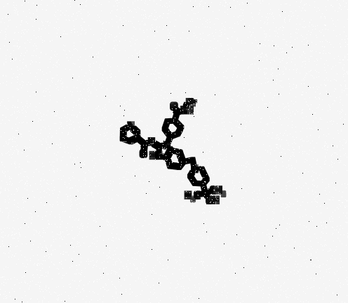 CC(C)NC(=O)C1CCC(n2c(=NC(=O)c3cccnc3)[nH]c3ccc(CN4CCC(C(C)(C)O)CC4)cc32)CC1